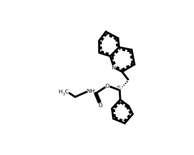 CCNC(=O)O[C@H](Cc1ccc2ccccc2n1)c1ccccc1